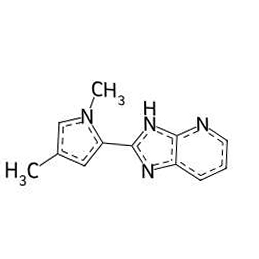 Cc1cc(-c2nc3cccnc3[nH]2)n(C)c1